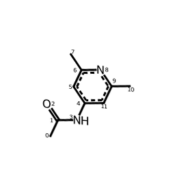 CC(=O)Nc1cc(C)nc(C)c1